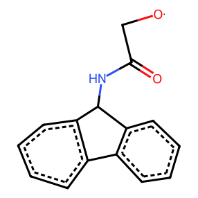 [O]CC(=O)NC1c2ccccc2-c2ccccc21